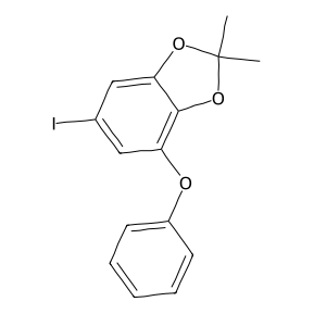 CC1(C)Oc2cc(I)cc(Oc3ccccc3)c2O1